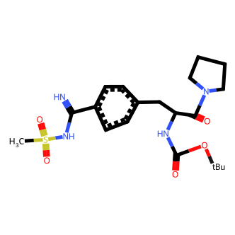 CC(C)(C)OC(=O)NC(Cc1ccc(C(=N)NS(C)(=O)=O)cc1)C(=O)N1CCCC1